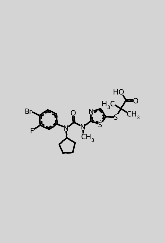 CN(C(=O)N(c1ccc(Br)c(F)c1)C1CCCC1)c1ncc(SC(C)(C)C(=O)O)s1